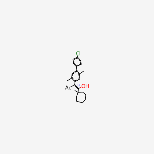 CC(=O)/C(=C(/O)C1(C)CCCCCC1)c1cc(C)c(-c2ccc(Cl)cc2)cc1C